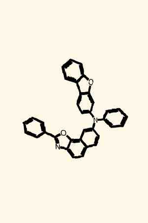 c1ccc(-c2nc3ccc4ccc(N(c5ccccc5)c5ccc6c(c5)oc5ccccc56)cc4c3o2)cc1